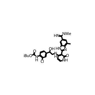 CNC(=N)c1cc(C)c2nc(-c3c(NCC(O)c4ccc(NC(=O)OCC(C)C)c(Cl)c4)cc[nH]c3=O)[nH]c2c1